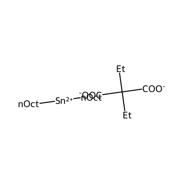 CCC(CC)(C(=O)[O-])C(=O)[O-].CCCCCCC[CH2][Sn+2][CH2]CCCCCCC